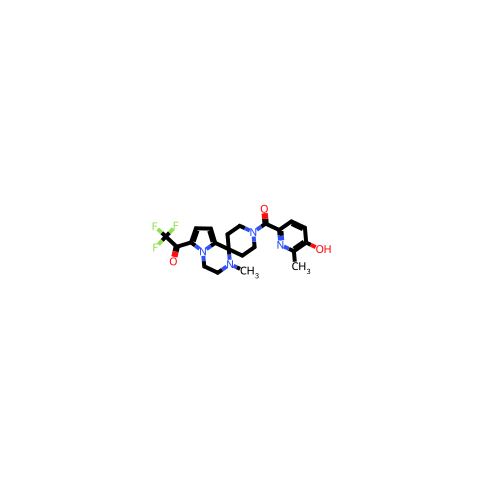 Cc1nc(C(=O)N2CCC3(CC2)c2ccc(C(=O)C(F)(F)F)n2CCN3C)ccc1O